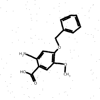 COc1cc(C(=O)O)c(N)cc1OCc1ccccc1